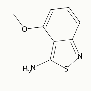 COc1cccc2nsc(N)c12